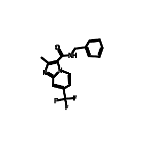 Cc1nc2cc(C(F)(F)F)ccn2c1C(=O)NCc1ccccc1